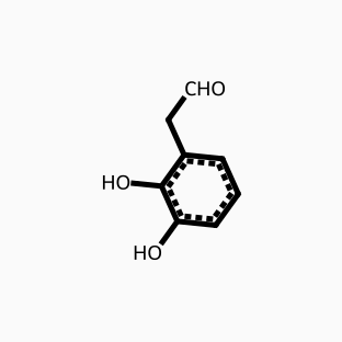 O=CCc1cccc(O)c1O